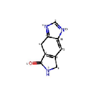 O=C1NCC2=C1CC1=NC=NC1=C2